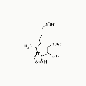 CCCCCCCCCCCCCCC(C)[n+]1cc[nH]c1C(C)CCCCCCCCCCC